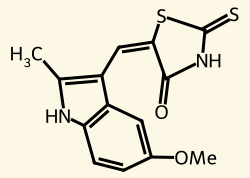 COc1ccc2[nH]c(C)c(C=C3SC(=S)NC3=O)c2c1